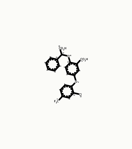 O=C(O)c1cc(Oc2ccc(C(F)(F)F)cc2Cl)ccc1OC(C(=O)O)c1ccccc1